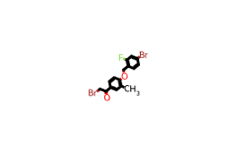 Cc1cc(C(=O)CBr)ccc1OCc1ccc(Br)cc1F